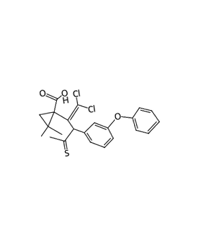 CC(=S)C(C(=C(Cl)Cl)C1(C(=O)O)CC1(C)C)c1cccc(Oc2ccccc2)c1